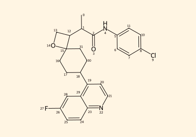 CC(C(=O)Nc1ccc(Cl)cc1)C1COC12CCC(c1ccnc3ccc(F)cc13)CC2